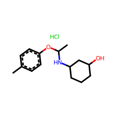 Cc1ccc(OC(C)NC2CCCC(O)C2)cc1.Cl